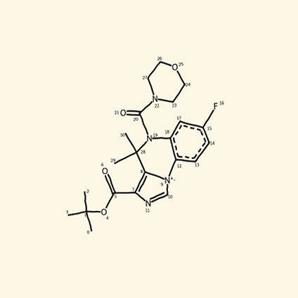 CC(C)(C)OC(=O)C1=C2[N+](C=N1)c1ccc(F)cc1N(C(=O)N1CCOCC1)C2(C)C